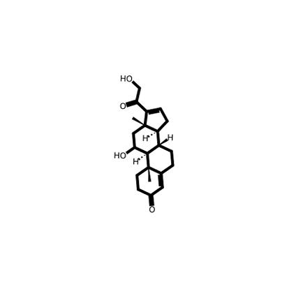 C[C@]12CCC(=O)C=C1CC[C@@H]1[C@@H]2C(O)C[C@]2(C)C(C(=O)CO)=CC[C@@H]12